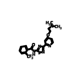 CN(C)CCOc1ccnc(-c2nsc(NC(=O)c3ccccc3C(F)(F)F)n2)c1